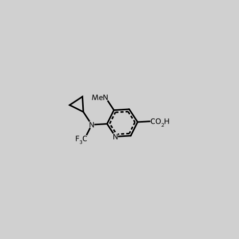 CNc1cc(C(=O)O)cnc1N(C1CC1)C(F)(F)F